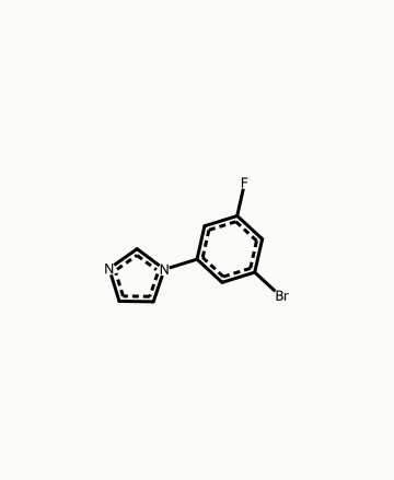 Fc1cc(Br)cc(-n2ccnc2)c1